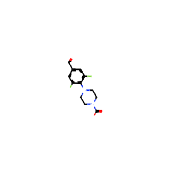 O=Cc1cc(F)c(N2CCN(C(=O)O)CC2)c(F)c1